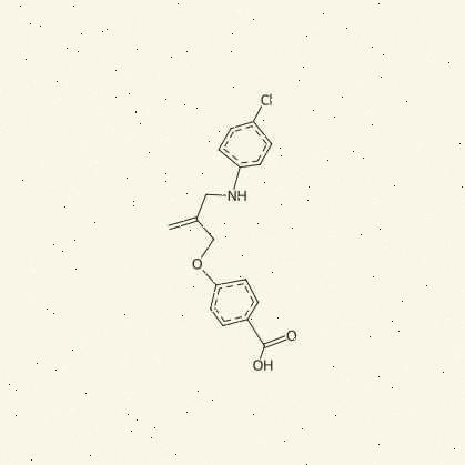 C=C(CNc1ccc(Cl)cc1)COc1ccc(C(=O)O)cc1